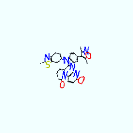 Cc1nc2c(s1)C[C@H](n1c([C@@H]3CCCC(=O)N3c3ccc(=O)n(C)c3)nc3cc(-c4c(C)noc4C)ccc31)CC2